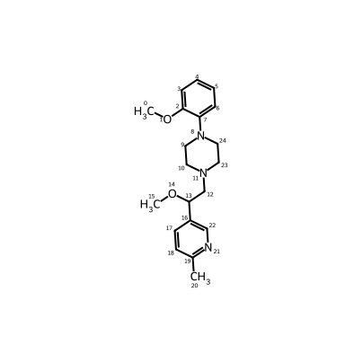 COc1ccccc1N1CCN(CC(OC)c2ccc(C)nc2)CC1